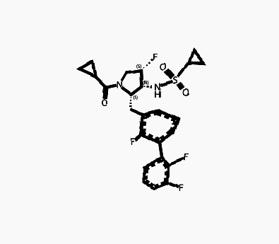 O=C(C1CC1)N1C[C@H](F)[C@H](NS(=O)(=O)C2CC2)[C@@H]1Cc1cccc(-c2cccc(F)c2F)c1F